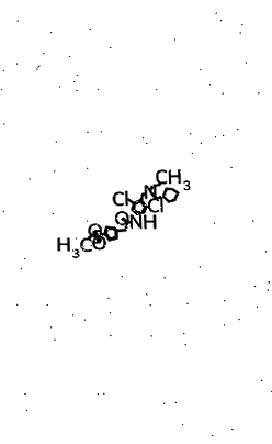 CCCN(Cc1c(Cl)cc(NC(=O)Cc2ccc(S(=O)(=O)CC)cc2)cc1Cl)CC1CCCCC1